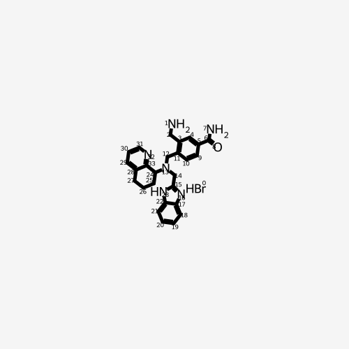 Br.NCc1cc(C(N)=O)ccc1CN(Cc1nc2ccccc2[nH]1)C1CCCc2cccnc21